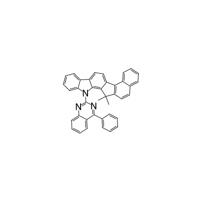 CC1(C)c2ccc3ccccc3c2-c2ccc3c4ccccc4n(-c4nc(-c5ccccc5)c5ccccc5n4)c3c21